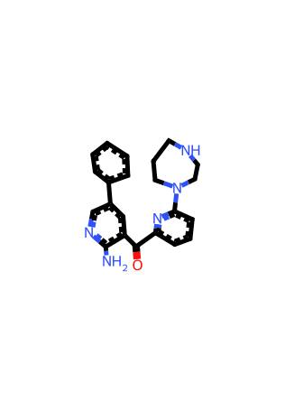 Nc1ncc(-c2ccccc2)cc1C(=O)c1cccc(N2CCCNCC2)n1